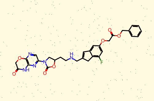 O=C1COc2ncc(N3CC(CCNCC4=Cc5cc(OCC(=O)OCc6ccccc6)cc(F)c5C4)OC3=O)nc2N1